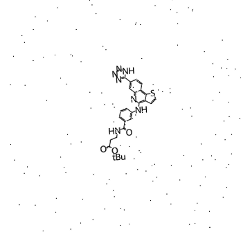 CC(C)(C)OC(=O)CCNC(=O)c1cccc(Nc2nc3cc(-c4nnn[nH]4)ccc3c3sccc23)c1